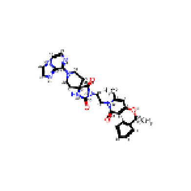 Cc1cc(O[C@H](C)c2ccccc2)cc(=O)n1CCN1C(=O)NC2(CCN(c3nccn4ccnc34)CC2)C1=O